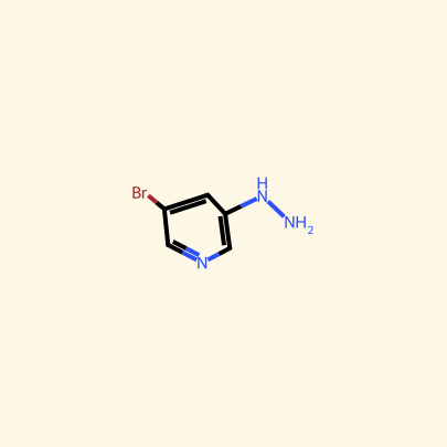 NNc1cncc(Br)c1